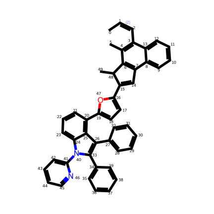 C/C=C\c1c(C)c2c(c3ccccc13)C=C(c1ccc(-c3cccc4c3c(-c3ccccc3)c(-c3ccccc3)n4-c3ccccn3)o1)C2C